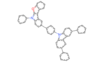 c1ccc(-c2ccc3c(c2)c2cc(-c4ccccc4)ccc2n3-c2ccc(-c3ccc4c(c3)c3c5ccccc5oc3n4-c3ccccc3)cc2)cc1